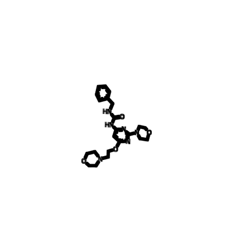 O=C(NCc1ccccc1)Nc1cc(OCCN2CCOCC2)nc(N2CCOCC2)n1